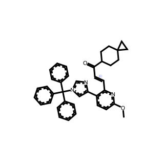 COc1ccc(-c2cn(C(c3ccccc3)(c3ccccc3)c3ccccc3)cn2)c(/C=C/C(=O)C2CCC3(CC2)CC3)n1